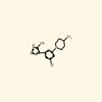 N#Cc1[nH]nnc1-c1cc(Cl)cc(N2CCC(C(F)(F)F)CC2)c1